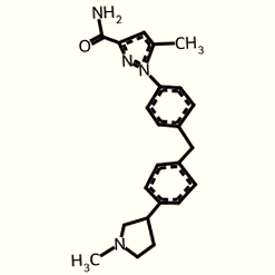 Cc1cc(C(N)=O)nn1-c1ccc(Cc2ccc(C3CCN(C)C3)cc2)cc1